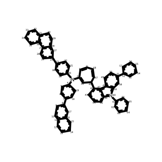 C1=CC(N(c2ccc(-c3ccc4ccccc4c3)cc2)c2ccc(-c3ccc4c(ccc5ccccc54)c3)cc2)=CC(c2cccc3c2c2ccc(-c4ccccc4)cc2n3-c2ccccc2)C=C1